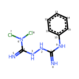 N=C(NNC(=N)N(Cl)Cl)Nc1ccccc1